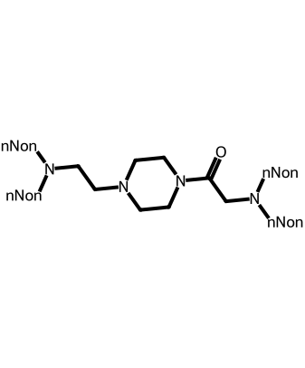 CCCCCCCCCN(CCCCCCCCC)CCN1CCN(C(=O)CN(CCCCCCCCC)CCCCCCCCC)CC1